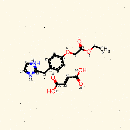 CCOC(=O)COc1ccc(Cc2ncc[nH]2)cc1.O=C(O)C=CC(=O)O